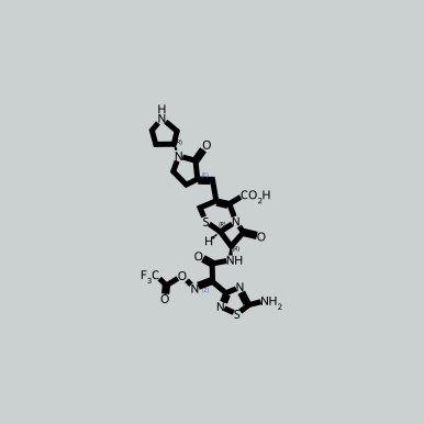 Nc1nc(/C(=N/OC(=O)C(F)(F)F)C(=O)N[C@@H]2C(=O)N3C(C(=O)O)=C(/C=C4\CCN([C@@H]5CCNC5)C4=O)CS[C@H]23)ns1